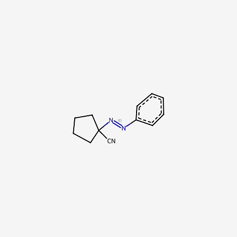 N#CC1(/N=N/c2ccccc2)CCCC1